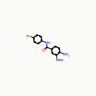 CNc1cc(C(=O)Nc2ccc(Br)cc2)ccc1N